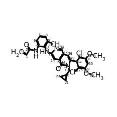 C=CC(=O)Nc1cccc(C)c1Nc1cc2c(=O)n(CC3CC3)c(C3C(Cl)=C(OC)C=C(OC)C3Cl)cc2cn1